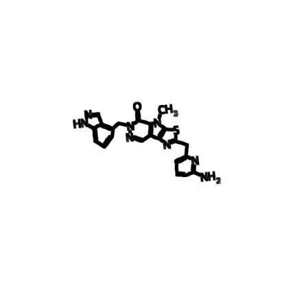 Cn1c2sc(Cc3cccc(N)n3)nc2c2cnn(Cc3cccc4[nH]ncc34)c(=O)c21